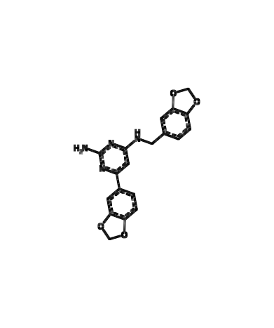 Nc1nc(NCc2ccc3c(c2)OCO3)cc(-c2ccc3c(c2)OCO3)n1